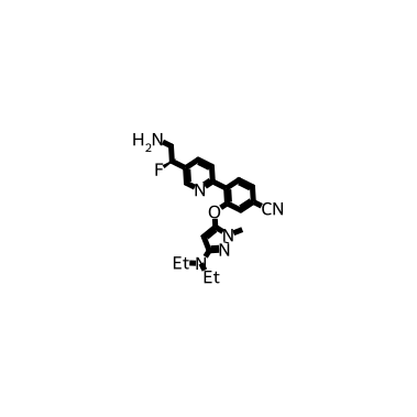 CCN(CC)c1cc(Oc2cc(C#N)ccc2-c2ccc([C@@H](F)CN)cn2)n(C)n1